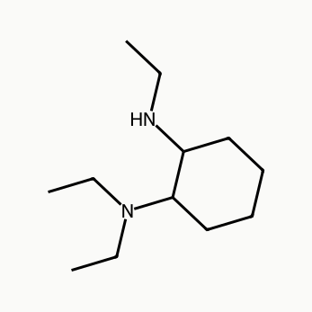 CCNC1CCCCC1N(CC)CC